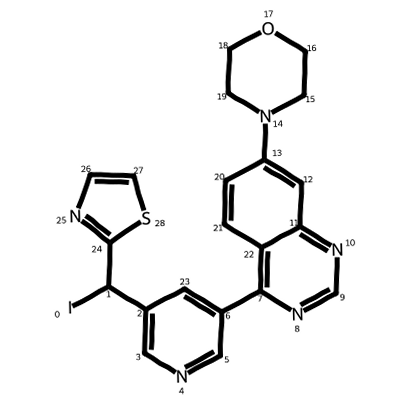 IC(c1cncc(-c2ncnc3cc(N4CCOCC4)ccc23)c1)c1nccs1